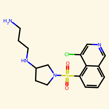 NCCCNC1CCN(S(=O)(=O)c2cccc3cncc(Cl)c23)C1